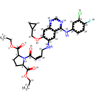 CCOC(=O)C1CCC(C(=O)OCC)N1C(=O)/C=C\CNc1cc2c(Nc3ccc(F)c(Cl)c3)ncnc2cc1OCC1CC1